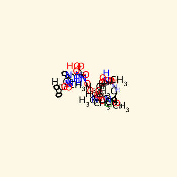 COc1cc2cc(c1Cl)N(C)CC[C@H](OC(=O)[C@H](C)N(C)C(=O)CCOCCOCCNC(=O)[C@H](CCC(=O)O)NC(=O)CCn1c(CN(C)N(C)C(=O)OCC3c4ccccc4-c4ccccc43)cc3ccccc31)[C@]1(C)OC1[C@H](C)[C@@H]1C[C@@](O)(NC(=O)O1)[C@H](OC)/C=C/C=C(\C)C2